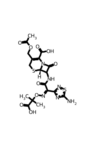 CC(=O)OCC1=C(C(=O)O)N2C(=O)C(NC(=O)/C(=N\OC(C)(C)C(=O)O)c3nsc(N)n3)[C@@H]2SC1